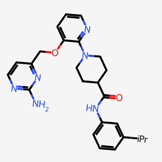 CC(C)c1cccc(NC(=O)C2CCN(c3ncccc3OCc3ccnc(N)n3)CC2)c1